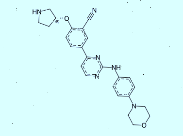 N#Cc1cc(-c2ccnc(Nc3ccc(N4CCOCC4)cc3)n2)ccc1O[C@@H]1CCNC1